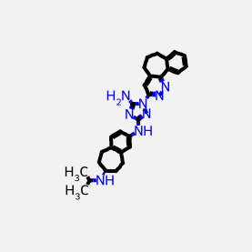 CC(C)N[C@H]1CCc2ccc(Nc3nc(N)n(-c4cc5c(nn4)-c4ccccc4CCC5)n3)cc2CC1